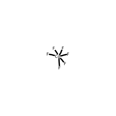 [F][Co]([F])([F])([F])([F])[F]